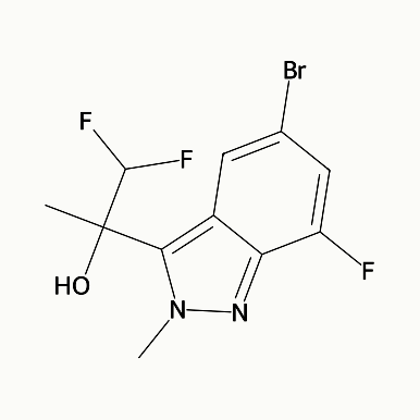 Cn1nc2c(F)cc(Br)cc2c1C(C)(O)C(F)F